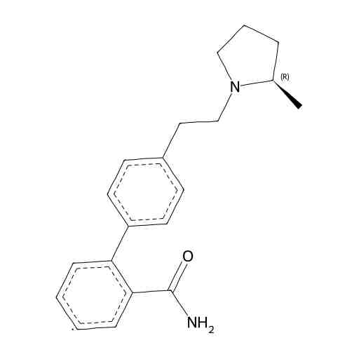 C[C@@H]1CCCN1CCc1ccc(-c2cc[c]cc2C(N)=O)cc1